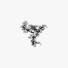 CCCOC[C@H]1[C@@H](O)[C@H](n2c[n+](C)c3c(=O)[nH]c(N)nc32)O[C@@H]1COP(=O)(O)OP(=O)(O)OP(=O)(O)OC[C@H]1O[C@@H](n2cnc3c(N)ncnc32)[C@H](OC)[C@@H]1OP(=O)([O-])OC[C@H]1O[C@@H](n2cnc3c(=O)[nH]c(N)nc32)[C@H](O)[C@@H]1O